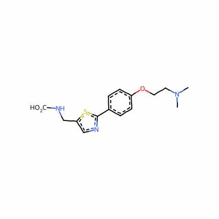 CN(C)CCOc1ccc(-c2ncc(CNC(=O)O)s2)cc1